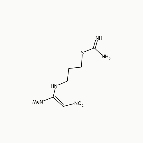 CNC(=C[N+](=O)[O-])NCCCSC(=N)N